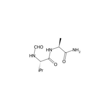 CC(C)[C@H](NC=O)C(=O)N[C@@H](C)C(N)=O